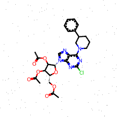 CC(=O)OC[C@H]1O[C@@H](n2cnc3c(N4CCCC(c5ccccc5)C4)nc(Cl)nc32)C(OC(C)=O)C1OC(C)=O